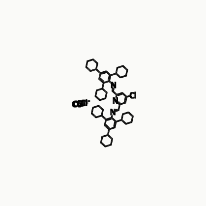 Clc1cc(C=Nc2c(C3CCCCC3)cc(C3CCCCC3)cc2C2CCCCC2)nc(C=Nc2c(C3CCCCC3)cc(C3CCCCC3)cc2C2CCCCC2)c1.[Cl-].[Cl-].[Cl-].[Co+3]